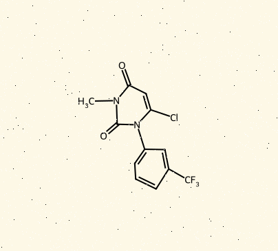 Cn1c(=O)cc(Cl)n(-c2cccc(C(F)(F)F)c2)c1=O